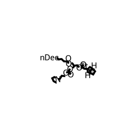 CCCCCCCCCCCCCC(=O)OCC(COC(=O)CC1(CC)C[C@@H]2CC[C@@H](C2)C1)COC(=O)OCCCN1CCCC1